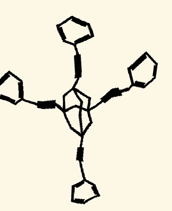 C(#CC12CC3(C#Cc4ccccc4)CC(C#Cc4ccccc4)(C1)CC(C#Cc1ccccc1)(C2)C3)c1ccccc1